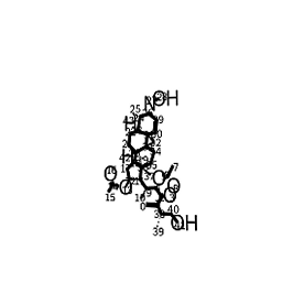 C=C(C(=O)[C@H](OC(C)=O)[C@@H](C)[C@H]1[C@@H](OC(C)=O)C[C@@]2(C)[C@@H]3CC[C@H]4[C@H](C)/C(=N/O)C=C[C@@]45C[C@@]35CC[C@]12C)[C@@H](C)CO